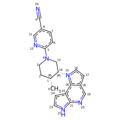 C[C@@H]1CCN(c2ccc(C#N)cn2)C[C@@H]1n1ccc2cnc3[nH]ccc3c21